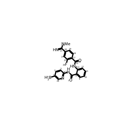 Bc1ccc(NC(=O)c2ccccc2NC(=O)c2ccc(C(=N)NC)cc2F)nc1